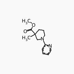 COC(=O)C1(C)CCCN(c2ccccn2)C1